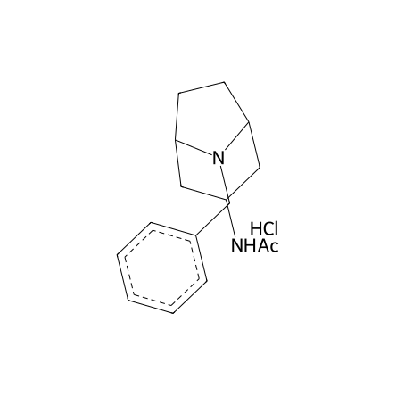 CC(=O)NC1CC2CCC(C1)N2Cc1ccccc1.Cl